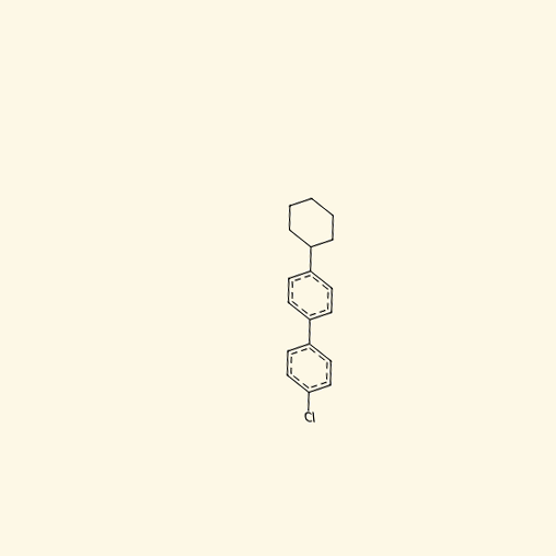 Clc1ccc(-c2ccc(C3CCCCC3)cc2)cc1